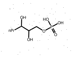 CCCC(O)C(O)COP(=O)(O)O